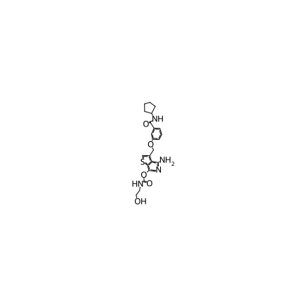 Nc1ncc(OC(=O)NCCO)c2scc(COc3cccc(C(=O)NC4CCCC4)c3)c12